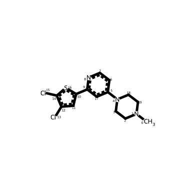 CN1CCN(c2ccnc(-c3cc(Cl)c(Cl)s3)c2)CC1